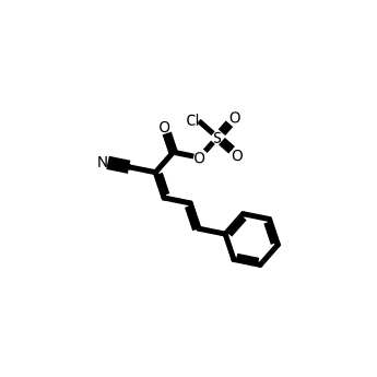 N#CC(=CC=Cc1ccccc1)C(=O)OS(=O)(=O)Cl